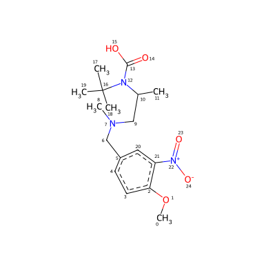 COc1ccc(CN(C)CC(C)N(C(=O)O)C(C)(C)C)cc1[N+](=O)[O-]